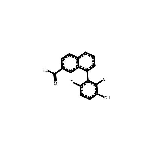 O=C(O)c1ccc2cccc(-c3c(F)ccc(O)c3Cl)c2c1